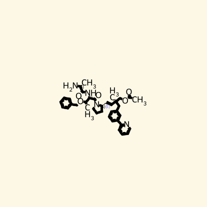 CC(=O)OC[C@@](C)(/C=C/[C@@H]1CCCN1C(=O)[C@@H](NC(=O)[C@H](C)N)C(C)OCc1ccccc1)Cc1cccc(-c2ccccn2)c1